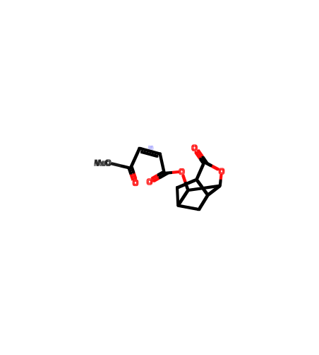 COC(=O)/C=C\C(=O)OC1C2CC3C(=O)OC1C3C2